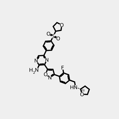 Nc1ncc(-c2ccc(S(=O)(=O)C3CCOC3)cc2)nc1-c1cc(-c2ccc(CN[C@@H]3CCCO3)cc2F)no1